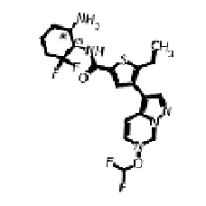 CCc1sc(C(=O)N[C@@H]2[C@H](N)CCCC2(F)F)cc1-c1cnn2c1C=CN(OC(F)F)C2